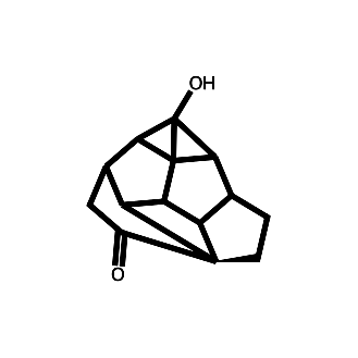 O=C1CC2C3C4(O)C5C6CC[C@@]17C6C(C27)C534